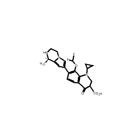 C[C@H]1NCCn2cc(-c3ccc4c(c3OC(F)F)N(C3CC3)CC(C(=O)O)C4=O)cc21